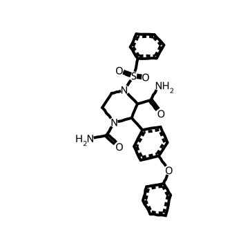 NC(=O)C1C(c2ccc(Oc3ccccc3)cc2)N(C(N)=O)CCN1S(=O)(=O)c1ccccc1